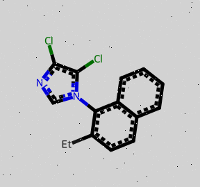 CCc1ccc2ccccc2c1-n1cnc(Cl)c1Cl